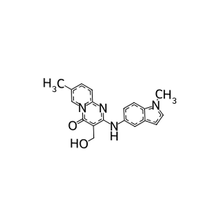 Cc1ccc2nc(Nc3ccc4c(ccn4C)c3)c(CO)c(=O)n2c1